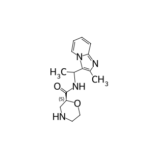 Cc1nc2ccccn2c1C(C)NC(=O)[C@@H]1CNCCO1